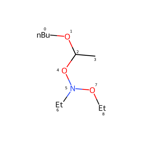 CCCCOC(C)ON(CC)OCC